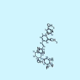 Cc1cn(-c2ccc(/C=C/c3nc4n(n3)CC[C@H](O)[C@H]4c3cc(F)c(F)c(F)c3)cc2C)cn1